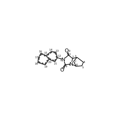 O=C1C2C3CCC(C3)N2C(=O)N1c1ccc2ccccc2c1